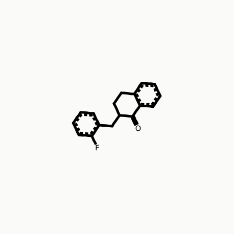 O=C1c2ccccc2CCC1Cc1ccccc1F